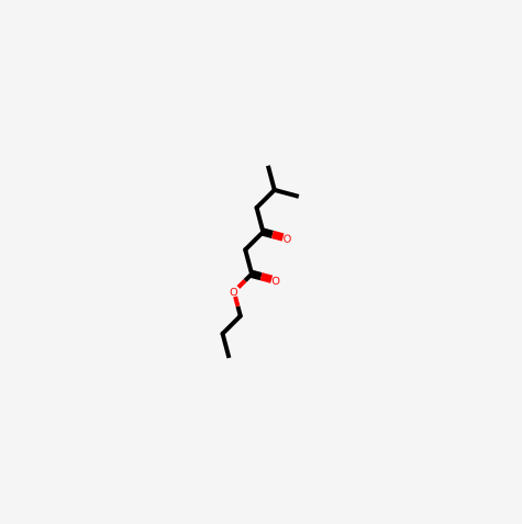 CCCOC(=O)CC(=O)CC(C)C